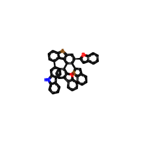 [c]1c(-c2cc3ccccc3o2)c(-c2cc3ccccc3s2)c(-c2cccc3c2oc2ccccc23)c2c1sc1cccc(-c3ccc4c(c3)[nH]c3ccccc34)c12